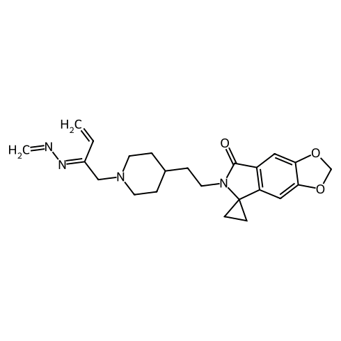 C=C/C(CN1CCC(CCN2C(=O)c3cc4c(cc3C23CC3)OCO4)CC1)=N\N=C